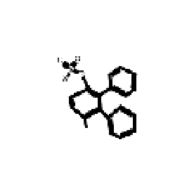 Cc1ccc(OS(=O)(=O)Br)c(-c2ccccc2)c1-c1ccccc1